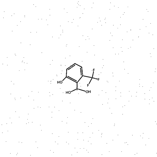 OB(O)c1c(O)cccc1C(F)(F)F